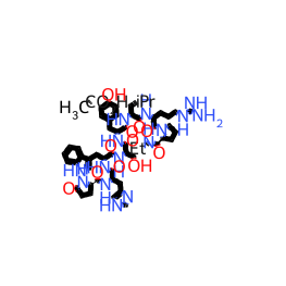 CC(=O)O.CCNC(=O)[C@@H]1CCCN1C(=O)C(CCCNC(=N)N)NC(=O)C(CC(C)C)NC(=O)C(Cc1ccc(O)cc1)NC(=O)C(CO)NC(=O)C(Cc1c[nH]c2ccccc12)NC(=O)C(Cc1c[nH]cn1)NC(=O)[C@@H]1CCC(=O)N1